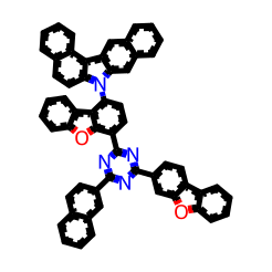 c1ccc2cc(-c3nc(-c4ccc5c(c4)oc4ccccc45)nc(-c4ccc(-n5c6cc7ccccc7cc6c6c7ccccc7ccc65)c5c4oc4ccccc45)n3)ccc2c1